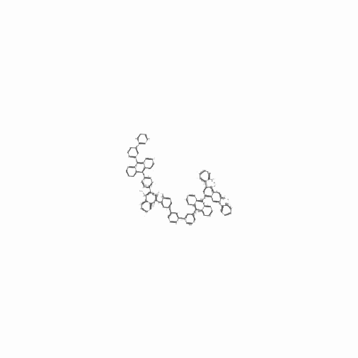 c1ccc(-c2cccc(-c3c4ccccc4c(-c4ccc5c(c4)sc4c6ccccc6c6c7cc(-c8cccc(-c9cccc(-c%10c%11ccccc%11c(-c%11cc%12c%13ccccc%13sc%12c%12cc%13sc%14ccccc%14c%13cc%11%12)c%11ccccc%10%11)c9)c8)ccc7sc6c54)c4ccccc34)c2)cc1